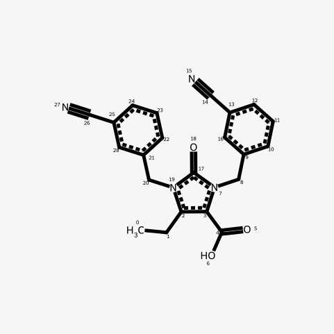 CCc1c(C(=O)O)n(Cc2cccc(C#N)c2)c(=O)n1Cc1cccc(C#N)c1